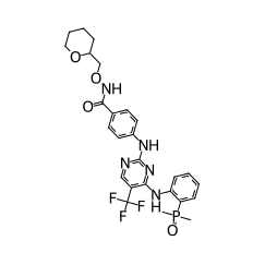 CP(C)(=O)c1ccccc1Nc1nc(Nc2ccc(C(=O)NOCC3CCCCO3)cc2)ncc1C(F)(F)F